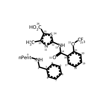 CCCCCNCc1ccccc1.Cc1nc(NC(=O)c2ccccc2OC(F)(F)F)sc1C(=O)O